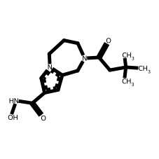 CC(C)(C)CC(=O)N1CCCn2cc(C(=O)NO)cc2C1